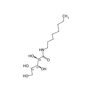 CCCCCCCCNC(=O)[C@H](O)[C@@H](O)[C@@H](O)CO